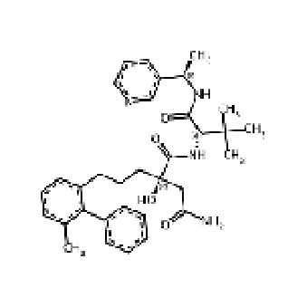 Cc1cccc(CCC[C@@](O)(CC(N)=O)C(=O)N[C@H](C(=O)N[C@H](C)c2cccnc2)C(C)(C)C)c1-c1ccccc1